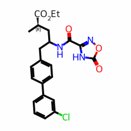 CCOC(=O)[C@H](C)CC(Cc1ccc(-c2cccc(Cl)c2)cc1)NC(=O)c1noc(=O)[nH]1